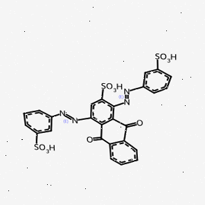 O=C1c2ccccc2C(=O)c2c(/N=N/c3cccc(S(=O)(=O)O)c3)c(S(=O)(=O)O)cc(/N=N/c3cccc(S(=O)(=O)O)c3)c21